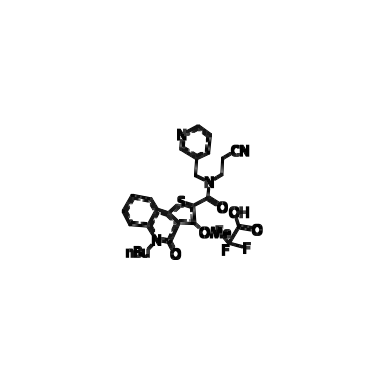 CCCCn1c(=O)c2c(OC)c(C(=O)N(CCC#N)Cc3cccnc3)sc2c2ccccc21.O=C(O)C(F)(F)F